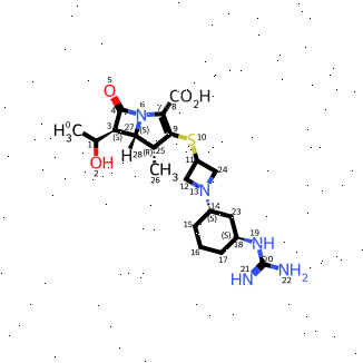 CC(O)[C@H]1C(=O)N2C(C(=O)O)=C(SC3CN([C@H]4CCC[C@H](NC(=N)N)C4)C3)[C@H](C)[C@H]12